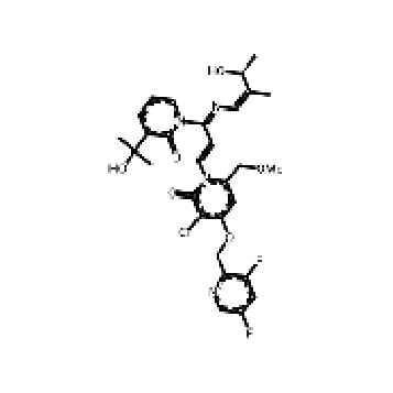 COCc1cc(OCc2ncc(F)cc2F)c(Cl)c(=O)n1/C=C/C(=N\C=C(\C)[C@H](C)O)n1cccc(C(C)(C)O)c1=O